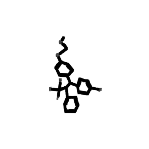 COCOc1ccc(C(c2ccc(F)cc2)C(c2ccccc2)C(F)(F)F)cc1